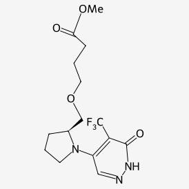 COC(=O)CCCOC[C@@H]1CCCN1c1cn[nH]c(=O)c1C(F)(F)F